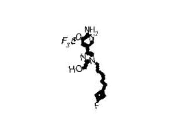 Nc1ncc(-c2cn(CCCCCC34CC(F)(C3)C4)c(CO)n2)cc1OC(F)(F)F